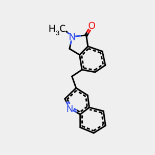 CN1Cc2c(Cc3cnc4ccccc4c3)cccc2C1=O